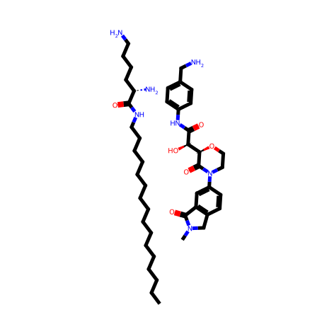 CCCCCCCCCCCCCCCCNC(=O)[C@@H](N)CCCCN.CN1Cc2ccc(N3CCO[C@H]([C@@H](O)C(=O)Nc4ccc(CN)cc4)C3=O)cc2C1=O